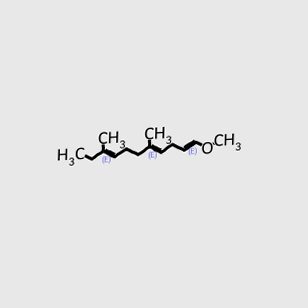 CC/C(C)=C/CC/C(C)=C/C/C=C/OC